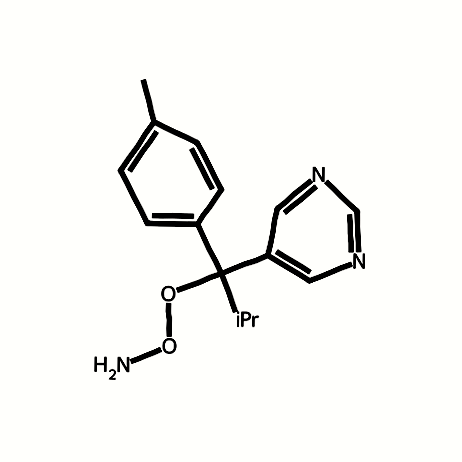 Cc1ccc(C(OON)(c2cncnc2)C(C)C)cc1